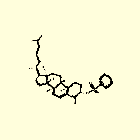 CC(C)CCC[C@@H](C)[C@H]1CC[C@H]2[C@@H]3CC=C4C(C)[C@@H](OS(=O)(=O)c5ccccc5)CC[C@]4(C)[C@H]3CC[C@]12C